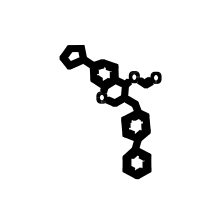 O=COC1c2ccc(C3CCCC3)cc2OCC1Cc1ccc(-c2ccccc2)cc1